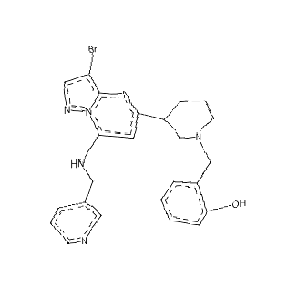 Oc1ccccc1CN1CCCC(c2cc(NCc3cccnc3)n3ncc(Br)c3n2)C1